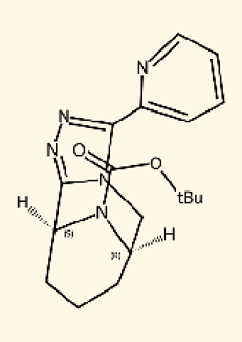 CC(C)(C)OC(=O)N1[C@@H]2CCC[C@H]1c1nnc(-c3ccccn3)n1C2